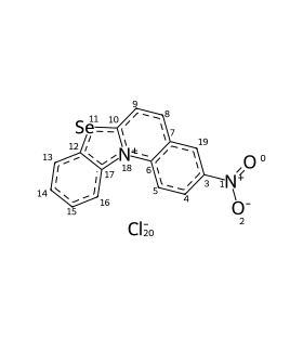 O=[N+]([O-])c1ccc2c(ccc3[se]c4ccccc4[n+]32)c1.[Cl-]